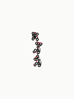 Cc1cccc(C)c1B(c1cccc(-c2nc3ccccc3c3c2ccc2ccccc23)c1)c1c(C)cc(-c2ccc3nc(-c4ccc(B(c5c(C)cccc5C)c5c(C)ccc(-c6ccc7ccc8c(B(c9c(C)cccc9C)c9c(C)cccc9C)nc9ccccc9c8c7c6)c5C)cc4)c4ccc5ccccc5c4c3c2)cc1C